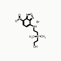 C[N+](C)(CCO)CCNc1ccc([N+](=O)[O-])c2nonc12.[Br-]